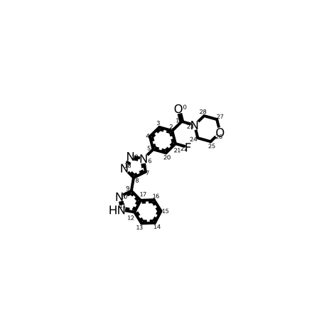 O=C(c1ccc(-n2cc(-c3n[nH]c4ccccc34)nn2)cc1F)N1CCOCC1